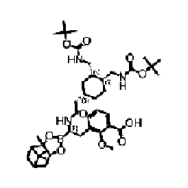 COc1c(C[C@H](NC(=O)C[C@H]2CC[C@H](CNC(=O)OC(C)(C)C)[C@@H](CNC(=O)OC(C)(C)C)C2)B2OC3CC4CC(C4(C)C)C3(C)O2)cccc1C(=O)O